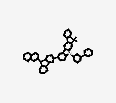 CC1(C)c2ccccc2-c2cc3c4cc(-c5ccc6c(c5)-c5ccccc5C6c5ccc6ccccc6c5)ccc4n(-c4cccc(-c5ccccc5)c4)c3cc21